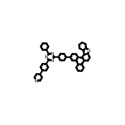 c1ccc(-c2nc(-c3ccc(-c4ccncc4)cc3)nc(-c3ccc(-c4ccc5c(c4)c4ccccc4c4ccc6sc7ccccc7c6c45)cc3)n2)cc1